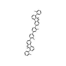 Cc1cc(-c2ccc(-c3ccc4sc5c(-c6ccccc6C)cccc5c4c3)c(C)c2)ccc1-c1ccc2sc3c(-c4ccccc4C)cccc3c2c1